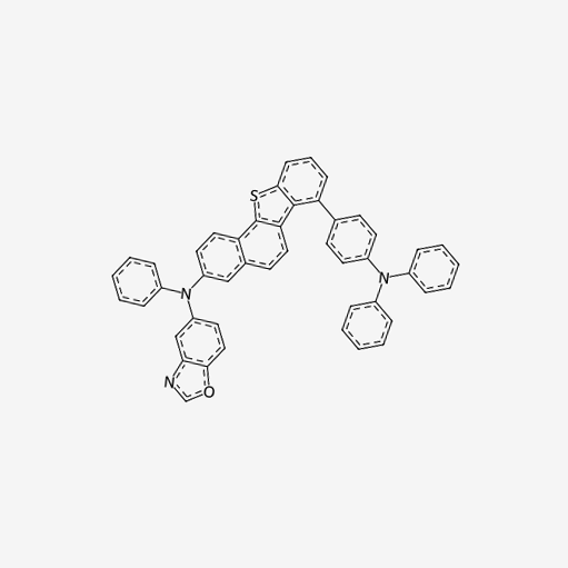 c1ccc(N(c2ccccc2)c2ccc(-c3cccc4sc5c6ccc(N(c7ccccc7)c7ccc8ocnc8c7)cc6ccc5c34)cc2)cc1